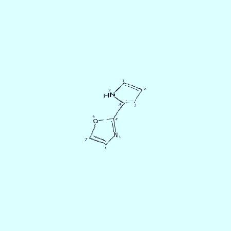 c1c[nH]c(-c2ncco2)c1